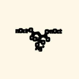 CCCCCCCCOC(=O)CC(C(=O)OCCCCCCCC)S(=O)(=O)[O-].[Ag+]